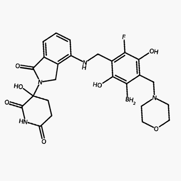 Bc1c(O)c(CNc2cccc3c2CN(C2(O)CCC(=O)NC2=O)C3=O)c(F)c(O)c1CN1CCOCC1